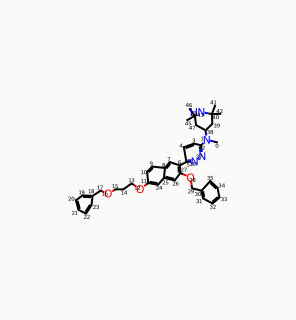 CN(c1ccc(-c2cc3ccc(OCCCOCc4ccccc4)cc3cc2OCc2ccccc2)nn1)C1CC(C)(C)NC(C)(C)C1